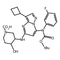 CC(C)(C)OC(=O)N(c1cccc(F)c1)c1cc(NC2CN(C(=O)O)CCC2O)nc2c(C3CCC3)cnn12